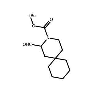 CC(C)(C)OC(=O)N1CCC2(CCCCC2)CC1C=O